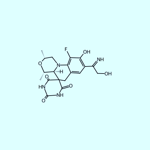 C[C@@H]1CN2c3c(cc(C(=N)CO)c(O)c3F)CC3(C(=O)NC(=O)NC3=O)[C@H]2[C@H](C)O1